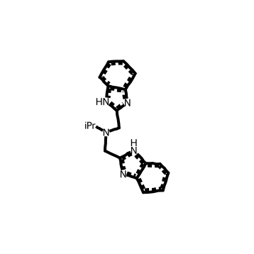 CC(C)N(Cc1nc2ccccc2[nH]1)Cc1nc2ccccc2[nH]1